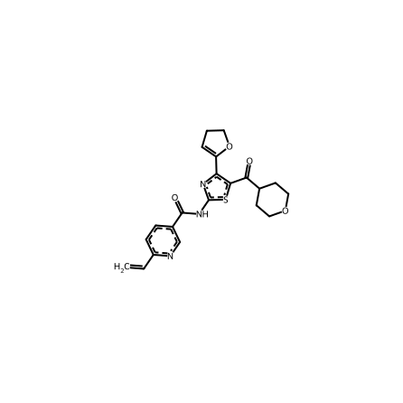 C=Cc1ccc(C(=O)Nc2nc(C3=CCCO3)c(C(=O)C3CCOCC3)s2)cn1